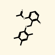 CC(=S)Oc1cccc(F)c1COc1cc(C)c(C)cc1C